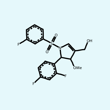 COC1C(CO)=CN(S(=O)(=O)c2cccc(F)c2)C1c1ccc(F)cc1F